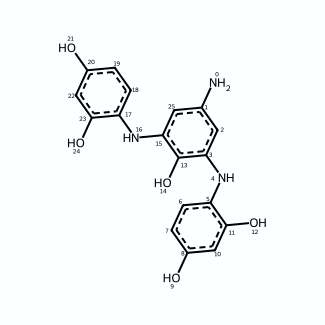 Nc1cc(Nc2ccc(O)cc2O)c(O)c(Nc2ccc(O)cc2O)c1